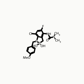 COc1ccc(CN2c3c(Cl)cc(F)c(NC(=O)N(C)C)c3CS2(O)O)cc1